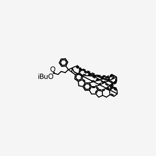 CC(C)COC(=O)CCCC1(c2ccccc2)C2c3cc4c5c6c(cc7c8c9c%10c%11c%12c%13c%14c%15c(c%16c3c5c3c%16c%14c%12c9c3c68)C21CC%15C=C%13CC%11CC=%10C7)C4